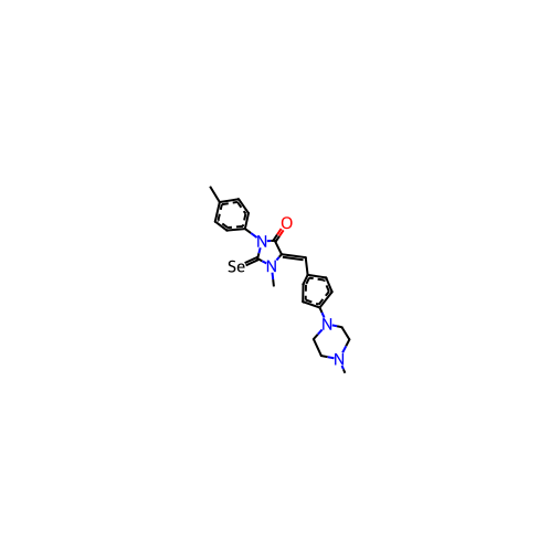 Cc1ccc(N2C(=O)C(=Cc3ccc(N4CCN(C)CC4)cc3)N(C)C2=[Se])cc1